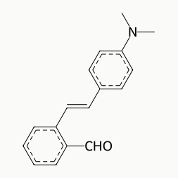 CN(C)c1ccc(C=Cc2ccccc2C=O)cc1